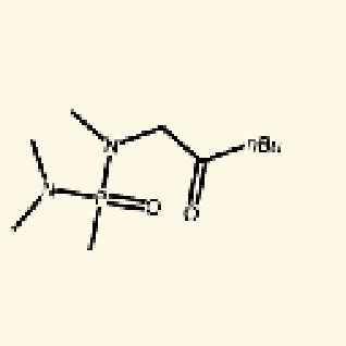 CCCCC(=O)CN(C)P(C)(=O)N(C)C